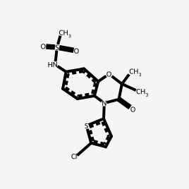 CC1(C)Oc2cc(NS(C)(=O)=O)ccc2N(c2ccc(Cl)s2)C1=O